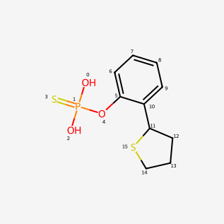 OP(O)(=S)Oc1ccccc1C1CCCS1